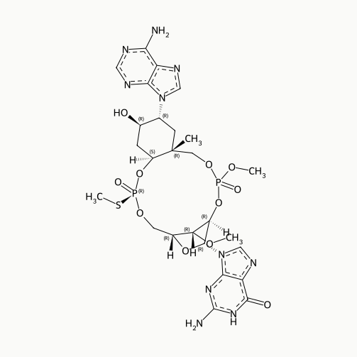 CO[C@H]1[C@H]2OP(=O)(OC)OC[C@@]3(C)C[C@@H](n4cnc5c(N)ncnc54)[C@H](O)C[C@@H]3O[P@](=O)(SC)OC[C@H]1O[C@H]2n1cnc2c(=O)[nH]c(N)nc21